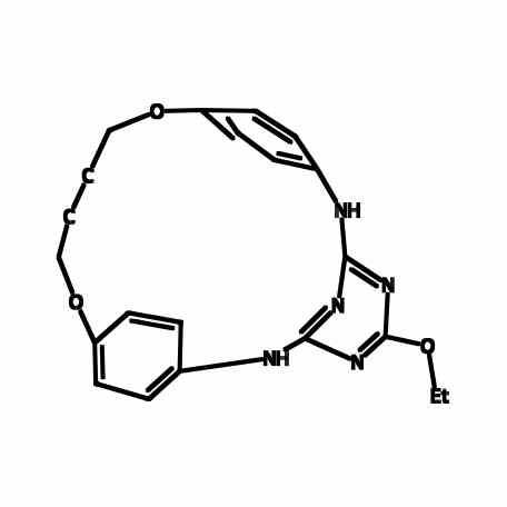 CCOc1nc2nc(n1)Nc1ccc(cc1)OCCCCOc1ccc(cc1)N2